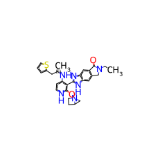 C1CN2CC12.CCN1Cc2cc3[nH]c(-c4c(N[C@@H](C)Cc5cccs5)cc[nH]c4=O)nc3cc2C1=O